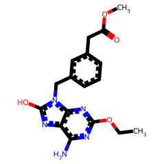 CCOc1nc(N)c2nc(O)n(Cc3cccc(CC(=O)OC)c3)c2n1